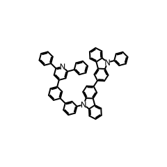 c1ccc(-c2cc(-c3cccc(-c4cccc(-n5c6ccccc6c6cc(-c7ccc8c(c7)c7ccccc7n8-c7ccccc7)ccc65)c4)c3)cc(-c3ccccc3)n2)cc1